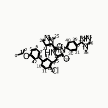 CC(C)Oc1cccc(-c2ccc(Cl)c(CC(NC(=O)c3ccnn3C)C(=O)Nc3ccc(-c4nncn4C)cc3)c2)c1